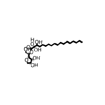 CCCCCCCCCCCCCCCC(O)C(O)(O)C(=O)O[C@H](CO)[C@H]1OC[C@H](O)[C@H]1O